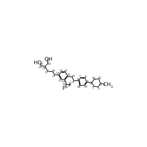 CC1CCC(c2ccc(CCc3ccc(CCCC(CO)CO)cc3C(F)F)cc2)CC1